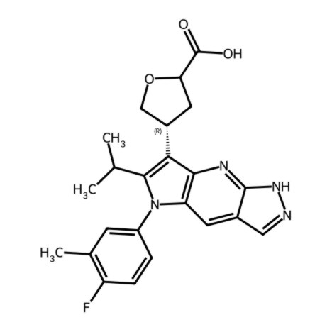 Cc1cc(-n2c(C(C)C)c([C@@H]3COC(C(=O)O)C3)c3nc4[nH]ncc4cc32)ccc1F